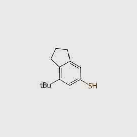 CC(C)(C)c1cc(S)cc2c1CCC2